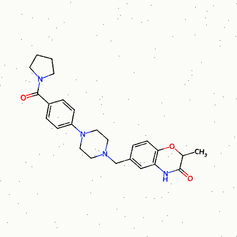 CC1Oc2ccc(CN3CCN(c4ccc(C(=O)N5CCCC5)cc4)CC3)cc2NC1=O